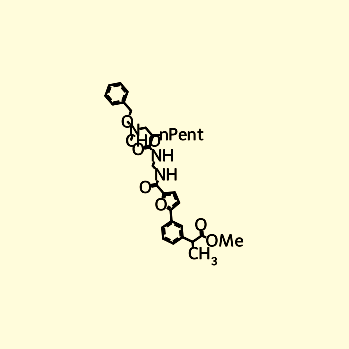 CCCCCC(CN(C=O)OCc1ccccc1)C(=O)NCNC(=O)c1ccc(-c2cccc(C(C)C(=O)OC)c2)o1